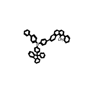 Oc1c(C2=CCCC=C2)ccc2ccc3cc(-c4ccc(N(c5ccc(-c6ccccc6)cc5)c5ccc(C6(c7ccccc7)c7ccccc7-c7ccccc76)cc5)cc4)ccc3c12